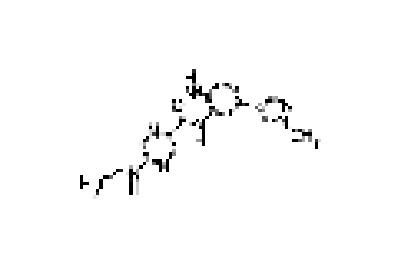 CCNc1cnc(C(=O)Nc2cc(-c3cnn(C)c3)ccc2N)cn1